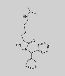 CC(C)NCCCCC1NCN(C(c2ccccc2)c2ccccc2)C1=O